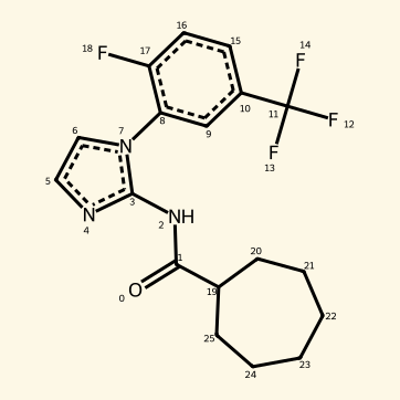 O=C(Nc1nccn1-c1cc(C(F)(F)F)ccc1F)C1CCCCCC1